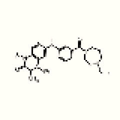 CC(C)N1c2cc(Nc3cccc(C(=O)N4CCCN(C)CC4)c3)ncc2N(C)C(=O)C1C